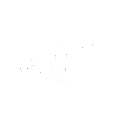 CNC(=O)c1ccc(C(=O)NC)c(-n2c(C)cc(OCc3ccc(F)cc3F)c(Br)c2=O)c1